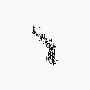 CC(C)C(=O)Nc1nc2ncc(CN(C(=O)C(F)(F)F)c3ccc(C(=O)N[C@H](C)CCC(=O)NCCOC(C)(C)OCCN)cc3)nc2c(=O)[nH]1